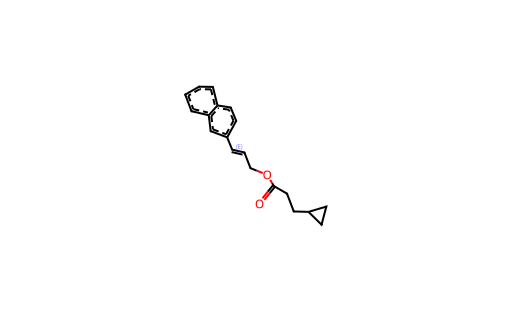 O=C(CCC1CC1)OC/C=C/c1ccc2ccccc2c1